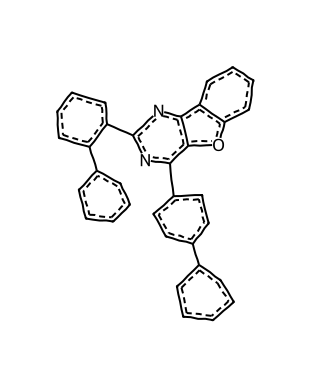 c1ccc(-c2ccc(-c3nc(-c4ccccc4-c4ccccc4)nc4c3oc3ccccc34)cc2)cc1